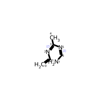 C=C/N=C(C)\N=C/N